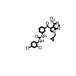 Nc1ncnc2c1c(C(=O)c1cccc(NC(=O)Nc3ccc(Cl)cc3Cl)c1)cn2CC1CC1